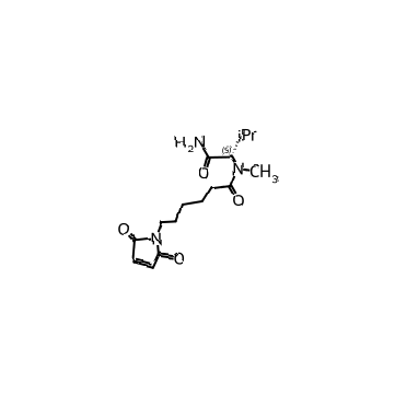 CC(C)[C@@H](C(N)=O)N(C)C(=O)CCCCCN1C(=O)C=CC1=O